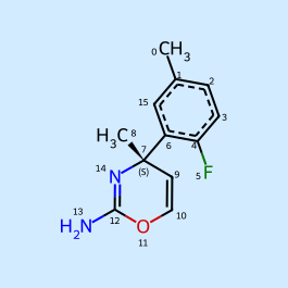 Cc1ccc(F)c([C@]2(C)C=COC(N)=N2)c1